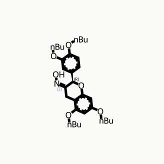 CCCCOc1cc(OCCCC)c2c(c1)O[C@H](c1ccc(OCCCC)c(OCCCC)c1)/C(=N\O)C2